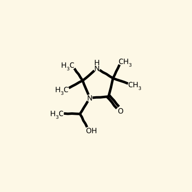 CC(O)N1C(=O)C(C)(C)NC1(C)C